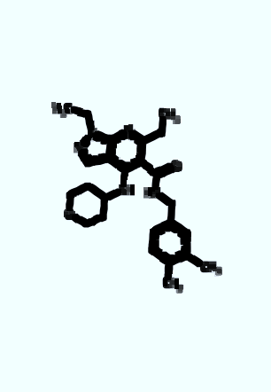 CCc1nc2c(cnn2CC)c(NC2CCOCC2)c1C(=O)NCc1ccc(C)c(C)c1